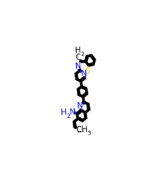 C=C1N=C2C=CC(c3ccc(-c4ccc5ccc(/C=C\C)c(N)c5n4)cc3)=CN2Sc2ccccc21